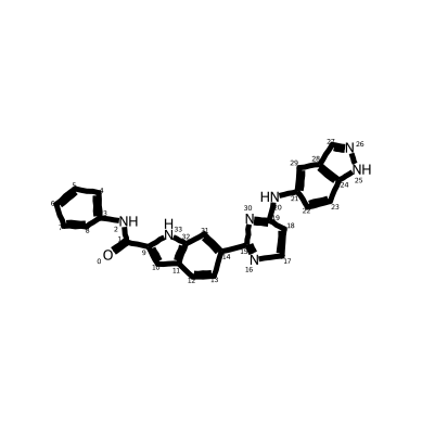 O=C(Nc1ccccc1)c1cc2ccc(-c3nccc(Nc4ccc5[nH]ncc5c4)n3)cc2[nH]1